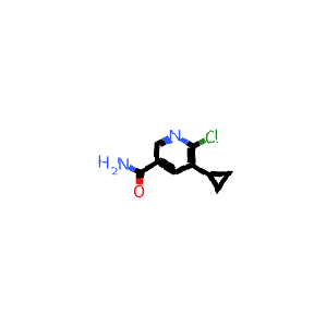 NC(=O)c1cnc(Cl)c(C2CC2)c1